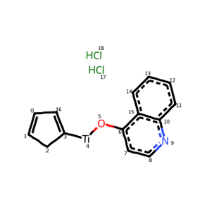 C1=CC[C]([Ti][O]c2ccnc3ccccc23)=C1.Cl.Cl